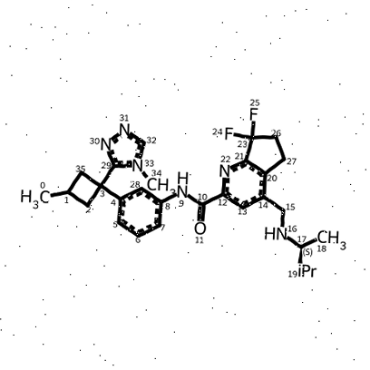 CC1CC(c2cccc(NC(=O)c3cc(CN[C@@H](C)C(C)C)c4c(n3)C(F)(F)CC4)c2)(c2nncn2C)C1